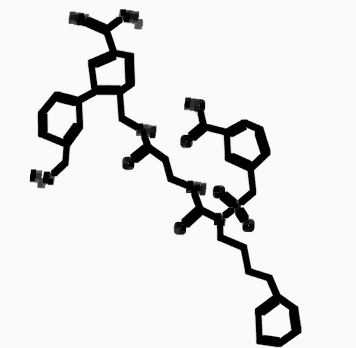 N=C(N)c1ccc(CNC(=O)CCNC(=O)N(CCCCc2ccccc2)S(=O)(=O)Cc2cccc(C(=O)O)c2)c(-c2cccc(CN)c2)c1